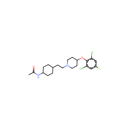 CC(=O)NC1CCC(CCN2CCC(Oc3c(Cl)cc(F)cc3Cl)CC2)CC1